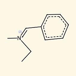 CC/[N+](C)=C\c1ccccc1